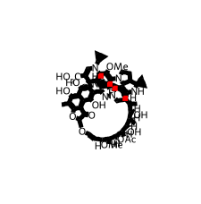 COc1c(N2CCC(C3(NC4CCN(/N=C/c5c6c(O)c7c(O)c(C)c8c(c7c5O)C(=O)[C@@](C)(O/C=C/[C@H](OC)[C@@H](C)[C@@H](OC(C)=O)[C@H](C)[C@H](O)[C@H](C)[C@@H](O)[C@@H](C)/C=C/C=C(/C)C(=O)N6)O8)CC4)CC3)C2)c(F)cc2c(=O)c(C(=O)O)cn(C3CC3)c12